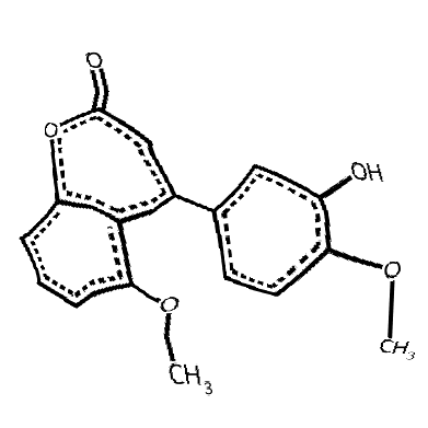 COc1ccc(-c2cc(=O)oc3cccc(OC)c23)cc1O